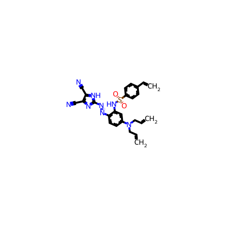 C=CCN(CC=C)c1ccc(/N=N/c2nc(C#N)c(C#N)[nH]2)c(NS(=O)(=O)c2ccc(C=C)cc2)c1